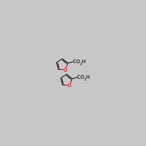 O=C(O)c1ccco1.O=C(O)c1ccco1